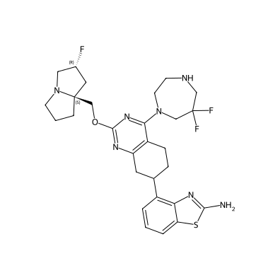 Nc1nc2c(C3CCc4c(nc(OC[C@@]56CCCN5C[C@H](F)C6)nc4N4CCNCC(F)(F)C4)C3)cccc2s1